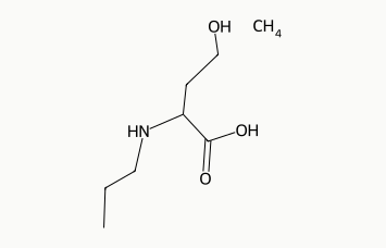 C.CCCNC(CCO)C(=O)O